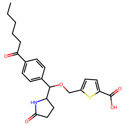 CCCCCC(=O)c1ccc(C(OCc2ccc(C(=O)O)s2)C2CCC(=O)N2)cc1